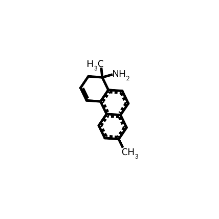 Cc1ccc2c3c(ccc2c1)C(C)(N)CC=C3